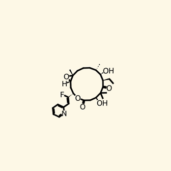 CC[C@H]1C(=O)C(C)(C)[C@@H](O)CC(=O)O[C@H](/C(F)=C/c2ccccn2)C[C@@H]2O[C@]2(C)CCC[C@H](C)[C@@H]1O